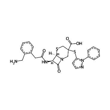 NCc1ccccc1CC(=O)N[C@@H]1C(=O)N2CC(Sc3ccnn3-c3ccccc3)(C(=O)O)CS[C@H]12